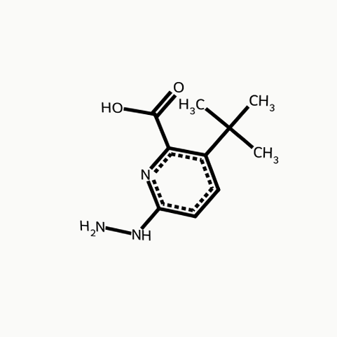 CC(C)(C)c1ccc(NN)nc1C(=O)O